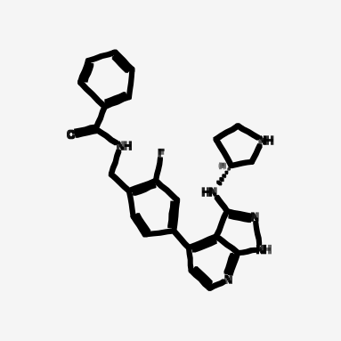 O=C(NCc1ccc(-c2ccnc3[nH]nc(N[C@@H]4CCNC4)c23)cc1F)c1ccccc1